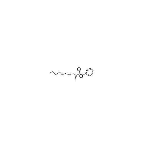 C=C(CCCCCCCC)C(=O)Oc1ccccc1